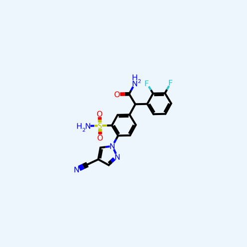 N#Cc1cnn(-c2ccc(C(C(N)=O)c3cccc(F)c3F)cc2S(N)(=O)=O)c1